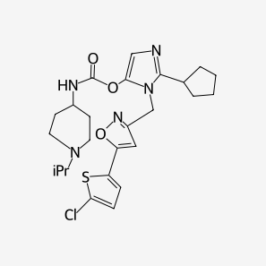 CC(C)N1CCC(NC(=O)Oc2cnc(C3CCCC3)n2Cc2cc(-c3ccc(Cl)s3)on2)CC1